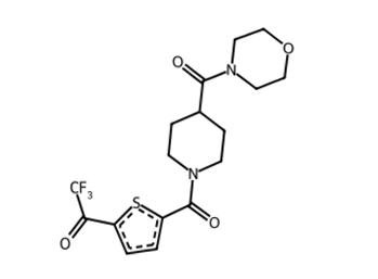 O=C(c1ccc(C(=O)C(F)(F)F)s1)N1CCC(C(=O)N2CCOCC2)CC1